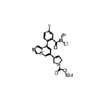 CCN(C(=O)c1cc(F)ccc1-c1cc(C2=CCN(C(=O)OC(C)(C)C)C2)cn2cncc12)C(C)C